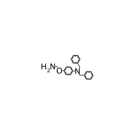 NCOc1ccc(N(Cc2ccccc2)Cc2ccccc2)cc1